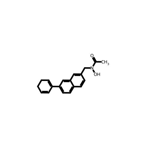 CC(=O)N(O)Cc1ccc2ccc(C3=CCCC=C3)cc2c1